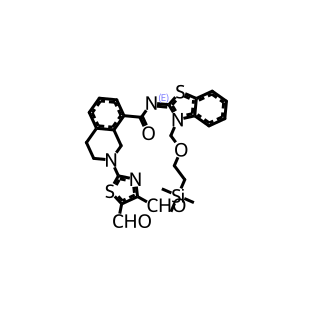 C[Si](C)(C)CCOCn1/c(=N\C(=O)c2cccc3c2CN(c2nc(C=O)c(C=O)s2)CC3)sc2ccccc21